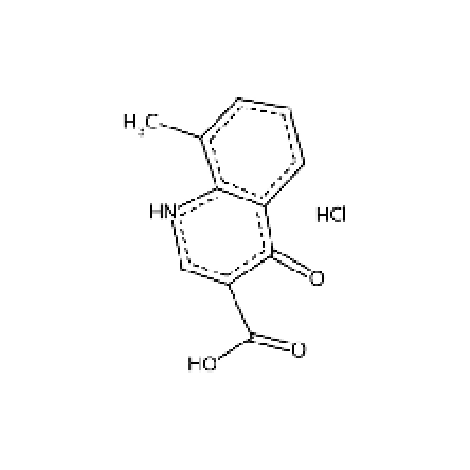 Cc1cccc2c(=O)c(C(=O)O)c[nH]c12.Cl